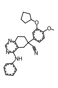 COc1ccc(C2(C#N)CCc3ncnc(Nc4ccccc4)c3C2)cc1OC1CCCC1